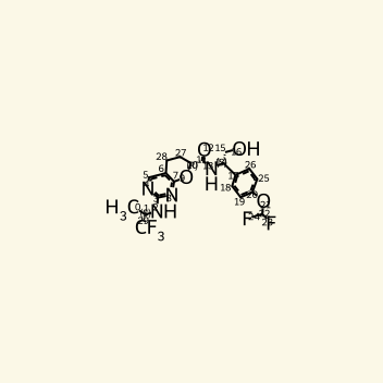 C[C@H](Nc1ncc2c(n1)O[C@@H](C(=O)N[C@H](CO)c1ccc(OC(F)F)cc1)CC2)C(F)(F)F